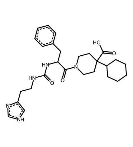 O=C(NCCc1c[nH]cn1)NC(Cc1ccccc1)C(=O)N1CCC(C(=O)O)(C2CCCCC2)CC1